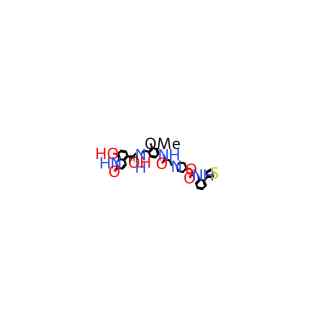 COc1cc(NC(=O)CCN2CCC(OC(=O)Nc3ccccc3-c3ccsc3)CC2)ccc1CNC[C@H](O)c1ccc(O)c2[nH]c(=O)ccc12